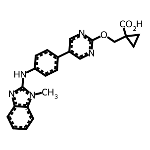 Cn1c(Nc2ccc(-c3cnc(OCC4(C(=O)O)CC4)nc3)cc2)nc2ccccc21